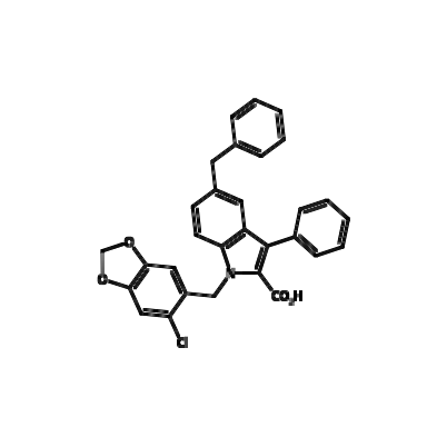 O=C(O)c1c(-c2ccccc2)c2cc(Cc3ccccc3)ccc2n1Cc1cc2c(cc1Cl)OCO2